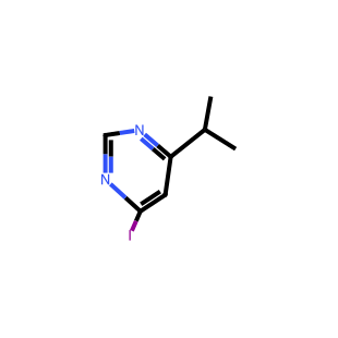 CC(C)c1cc(I)ncn1